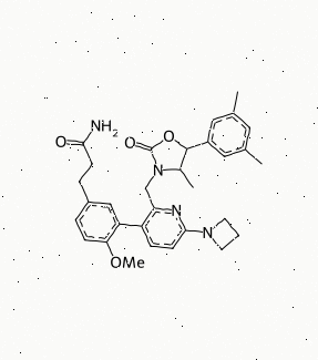 COc1ccc(CCC(N)=O)cc1-c1ccc(N2CCC2)nc1CN1C(=O)OC(c2cc(C)cc(C)c2)C1C